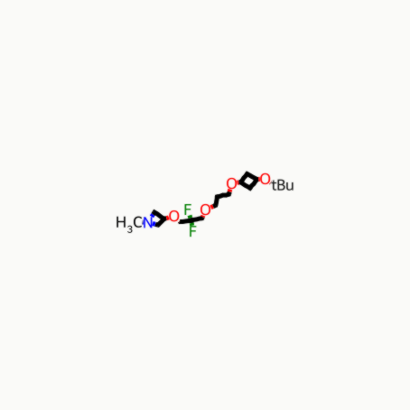 CN1CC(OCC(F)(F)COCCCOC2CC(OC(C)(C)C)C2)C1